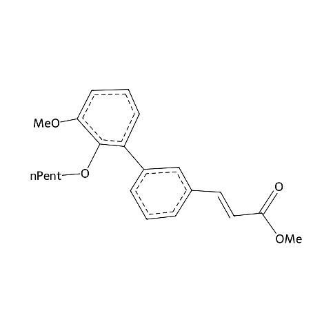 CCCCCOc1c(OC)cccc1-c1cccc(C=CC(=O)OC)c1